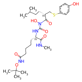 CNC(=O)[C@H](CCCCC(=O)NOC(C)(C)C)NC(=O)N(O)C(=O)[C@H](CCC(C)C)CSc1ccc(O)cc1